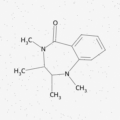 CC1C(C)N(C)c2ccccc2C(=O)N1C